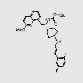 COc1ccc2nccc(CC(NC(=O)OC(C)(C)C)[C@H]3CC[C@H](NCC=Cc4cc(F)ccc4F)CC3)c2n1